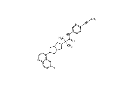 CC#Cc1ccc(NC(=O)C(C)(C)C2CC3CC(c4ccnc5ccc(F)cc45)CC3C2)cn1